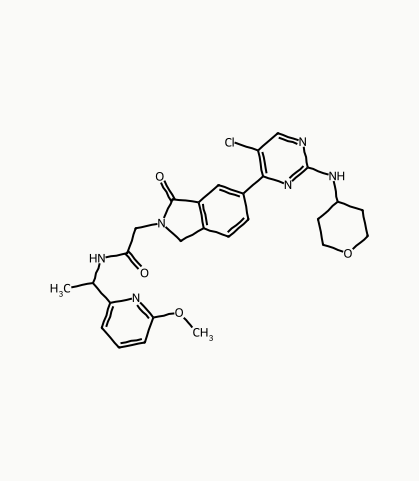 COc1cccc(C(C)NC(=O)CN2Cc3ccc(-c4nc(NC5CCOCC5)ncc4Cl)cc3C2=O)n1